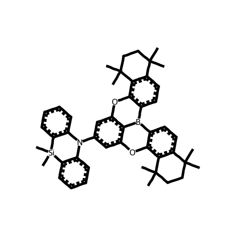 CC1(C)CCC(C)(C)c2c1ccc1c2Oc2cc(N3c4ccccc4[Si](C)(C)c4ccccc43)cc3c2B1c1ccc2c(c1O3)C(C)(C)CCC2(C)C